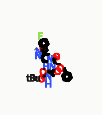 CN1N=C2CCN(C(=O)[C@@H](COCc3ccccc3)NC(=O)C(C)(C)NC(=O)OC(C)(C)C)C[C@@]2(Cc2ccc(F)cc2)C1=O